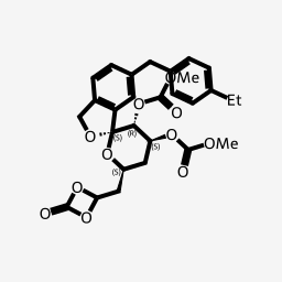 CCc1ccc(Cc2ccc3c(c2)[C@]2(OC3)O[C@H](CC3OC(=O)O3)C[C@H](OC(=O)OC)[C@H]2OC(=O)OC)cc1